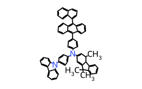 CC1C=C(N(c2ccc(-c3c4ccccc4c(-c4cccc5ccccc45)c4ccccc34)cc2)c2ccc(-n3c4ccccc4c4ccccc43)cc2)C=C2C1c1ccccc1C2(C)C